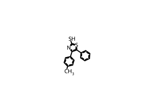 Cc1ccc(-c2nc(S)sc2-c2ccccc2)cc1